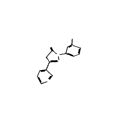 CSc1cccc(N2N=C(c3cccnc3)CC2=O)c1